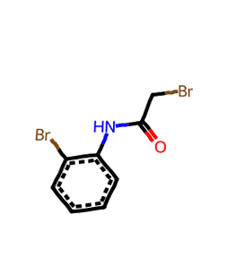 O=C(CBr)Nc1ccccc1Br